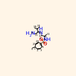 CC1C=CC=C(S(=O)(=O)NC(C)CNC(CN)C(C)C)C=C1